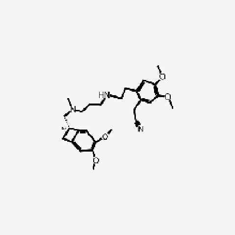 COc1cc(CC#N)c(CCNCCCN(C)C[C@H]2Cc3cc(OC)c(OC)cc32)cc1OC